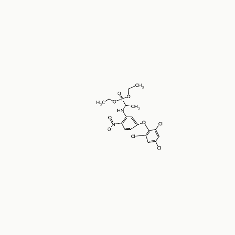 CCOP(=O)(OCC)C(C)Nc1cc(Oc2c(Cl)cc(Cl)cc2Cl)ccc1[N+](=O)[O-]